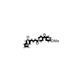 COc1ccc(C(=O)C2CCN(C(=O)CCCC3=Cn4cccc4CN3)CC2)cn1